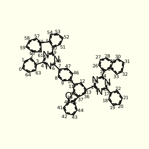 c1ccc(-c2nc(-c3ccc(-c4cc(-c5nc(-c6ccccc6)nc(-c6cccc7ccccc67)n5)cc5c4oc4ccccc45)cc3)nc(-c3ccccc3-c3ccccc3)n2)cc1